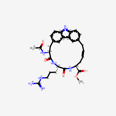 COC(=O)[C@@H]1CC=CCc2ccc3[nH]c4ccc(cc4c3c2)C[C@H](NC(C)=O)C(=O)N[C@@H](CCCNC(=N)N)C(=O)N1